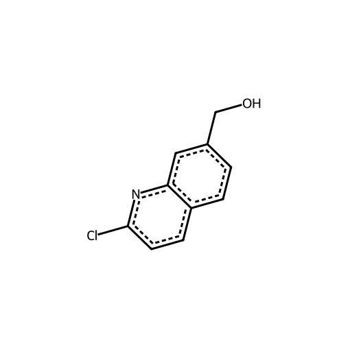 OCc1ccc2ccc(Cl)nc2c1